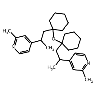 Cc1cc(C(C)CC2(OC3(CC(C)c4ccnc(C)c4)CCCCC3)CCCCC2)ccn1